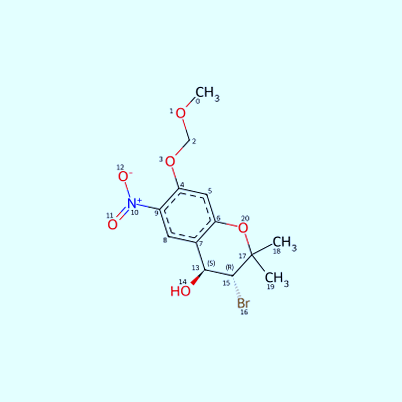 COCOc1cc2c(cc1[N+](=O)[O-])[C@H](O)[C@@H](Br)C(C)(C)O2